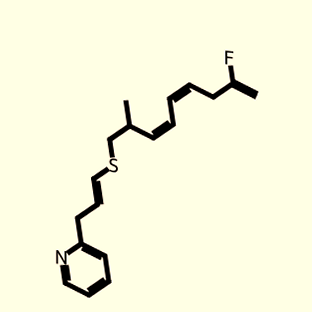 C=C(F)C/C=C\C=C/C(C)CS/C=C/Cc1ccccn1